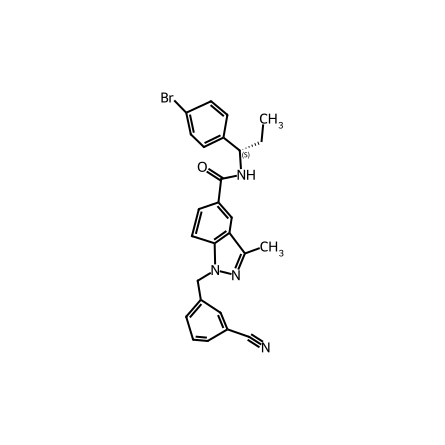 CC[C@H](NC(=O)c1ccc2c(c1)c(C)nn2Cc1cccc(C#N)c1)c1ccc(Br)cc1